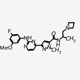 COc1cc(F)cc(Nc2nccc(-c3cc(C(=O)NC(C)CN4CCC4)n(C)n3)n2)c1